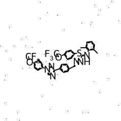 Cc1cccc(C)c1/N=C(/N/N=C/c1ccc(-c2ncn(-c3ccc(OC(F)(F)F)cc3)n2)cc1)Sc1ccc(OC(F)(F)F)cc1